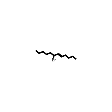 CCCC/C=C/C(Br)CCCCC